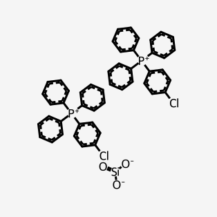 Clc1ccc([P+](c2ccccc2)(c2ccccc2)c2ccccc2)cc1.Clc1ccc([P+](c2ccccc2)(c2ccccc2)c2ccccc2)cc1.O=[Si]([O-])[O-]